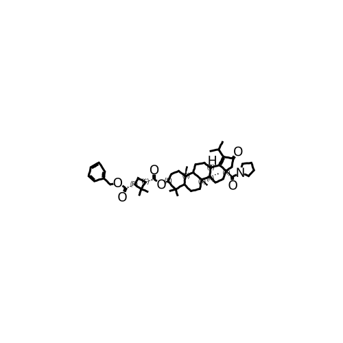 CC(C)C1=C2[C@H]3CCC4[C@@]5(C)CC[C@H](OC(=O)[C@H]6C[C@@H](C(=O)OCc7ccccc7)C6(C)C)C(C)(C)C5CC[C@@]4(C)[C@]3(C)CC[C@@]2(C(=O)N2CCCC2)CC1=O